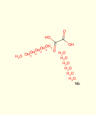 O.O.O.O.O.O.O.O.O.O.O.O.O=C(O)C(=O)O.[Nb]